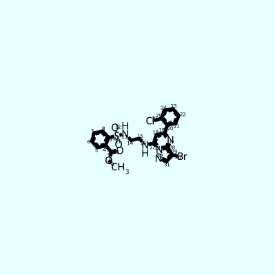 COC(=O)c1ccccc1S(=O)(=O)NCCNc1cc(-c2ccccc2Cl)nc2c(Br)cnn12